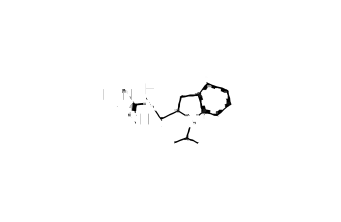 CC(C)N1c2ccccc2CC1CNC(=N)N